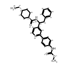 COC(=O)Nc1ccc(-c2cc(C(Cc3ccccc3)NC(=O)[C@H]3CC[C@H](CN)CC3)ccn2)cc1